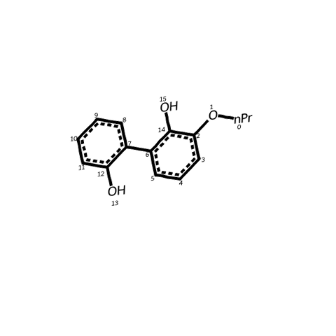 CCCOc1cccc(-c2ccccc2O)c1O